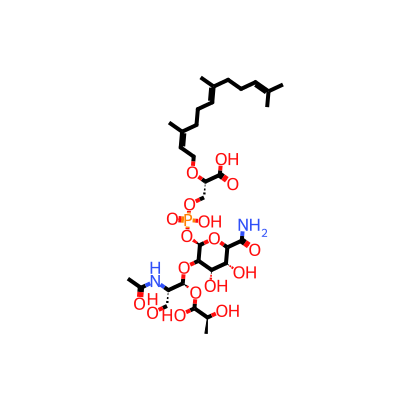 CC(=O)N[C@@H](CO)[C@@H](OC(O)[C@H](C)O)OC1[C@@H](OP(=O)(O)OC[C@H](OC/C=C(/C)CC/C=C(\C)CCC=C(C)C)C(=O)O)OC(C(N)=O)[C@H](O)[C@@H]1O